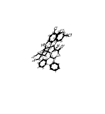 O=C1O[C@@H](c2ccccc2)[C@@H](c2ccccc2)N2[C@@H]1[C@H](c1ccnc(Cl)c1)[C@@]1(C(=O)Nc3cc(Cl)c(F)cc31)C21CC(CF)(CF)C1